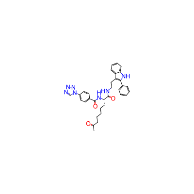 CC(=O)CCCCC[C@H](NC(=O)c1ccc(-n2cnnn2)cc1)C(=O)NCCc1c(-c2ccccc2)[nH]c2ccccc12